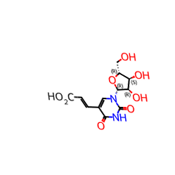 O=C(O)C=Cc1cn([C@@H]2O[C@H](CO)[C@@H](O)[C@H]2O)c(=O)[nH]c1=O